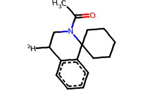 [2H]C1CN(C(C)=O)C2(CCCCC2)c2ccccc21